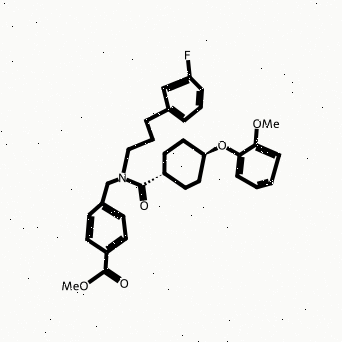 COC(=O)c1ccc(CN(CCCc2cccc(F)c2)C(=O)[C@H]2CC[C@H](Oc3ccccc3OC)CC2)cc1